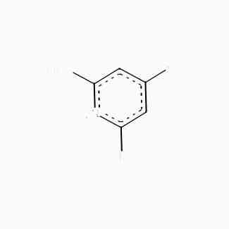 O=Cc1cc(Cl)cc(F)n1